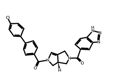 O=C(c1ccc(-c2ccc(Cl)cc2)cc1)N1C=C2CN(C(=O)c3ccc4[nH]nnc4c3)C[C@@H]2C1